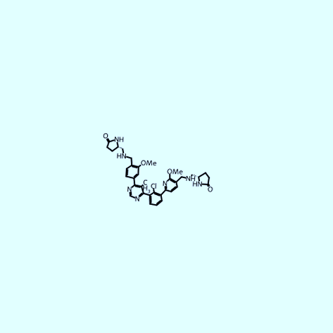 COc1cc(-c2ncnc(-c3cccc(-c4ccc(CNC[C@@H]5CCC(=O)N5)c(OC)n4)c3Cl)c2C)ccc1CNC[C@@H]1CCC(=O)N1